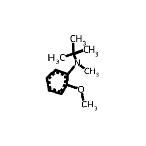 COc1ccccc1N(C)C(C)(C)C